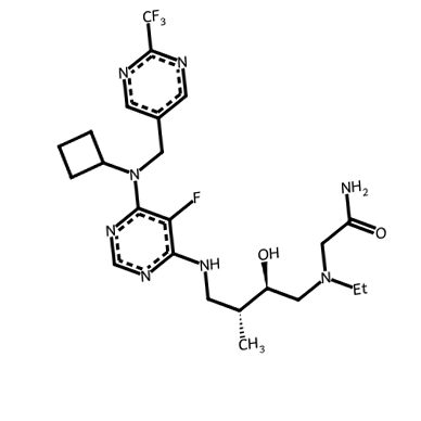 CCN(CC(N)=O)C[C@H](O)[C@H](C)CNc1ncnc(N(Cc2cnc(C(F)(F)F)nc2)C2CCC2)c1F